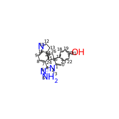 C=C(N(C)/C(=N\N)C1=CC=C2N=CCC2C1)C1(c2ccc(O)cc2)CCC1